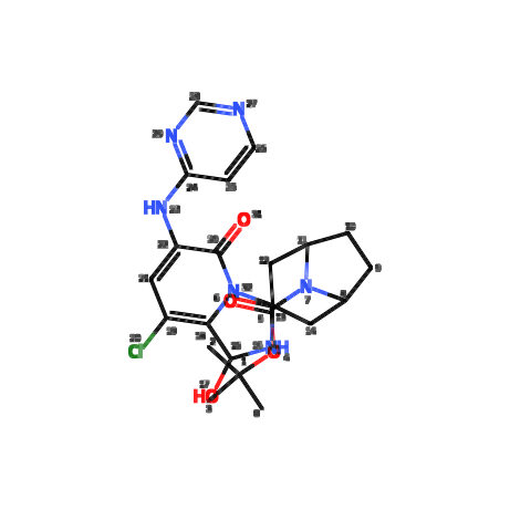 CC(C)(C)OC(=O)N1C2CCC1CC1(C2)NC(O)c2c(Cl)cc(Nc3ccncn3)c(=O)n21